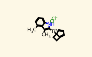 Cc1cccc2[nH][c]([Ti+2][C]34C=CC=C3CC4)c(C)c12.[Cl-].[Cl-]